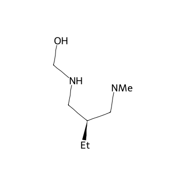 CC[C@H](CNC)CNCO